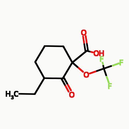 CCC1CCCC(OC(F)(F)F)(C(=O)O)C1=O